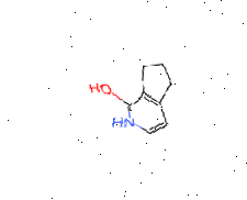 OC1NC=CC2=C1CCC2